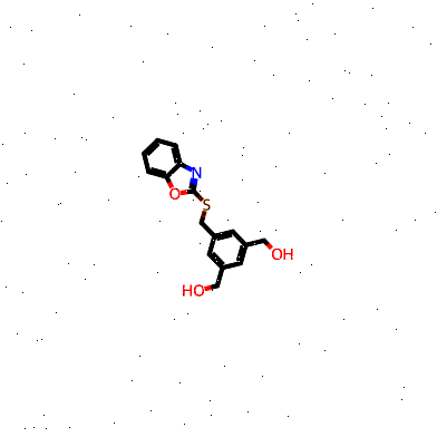 OCc1cc(CO)cc(CSc2nc3ccccc3o2)c1